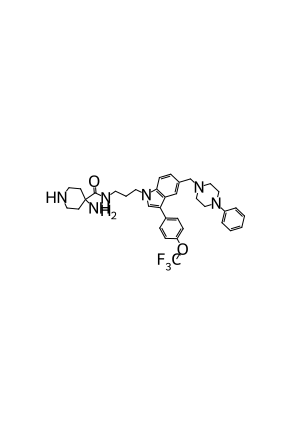 NC1(C(=O)NCCCn2cc(-c3ccc(OC(F)(F)F)cc3)c3cc(CN4CCN(c5ccccc5)CC4)ccc32)CCNCC1